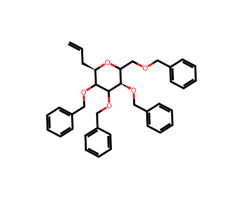 C=CC[C@H]1OC(COCc2ccccc2)[C@@H](OCc2ccccc2)C(OCc2ccccc2)C1OCc1ccccc1